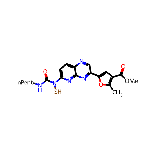 CCCCCNC(=O)N(S)c1ccc2ncc(-c3cc(C(=O)OC)c(C)o3)nc2n1